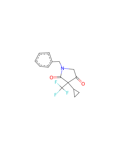 O=C1CN(Cc2ccccc2)C(=O)C1(C1CC1)C(F)(F)F